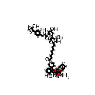 Cc1ncsc1-c1ccc(CNC(=O)[C@@H]2C[C@H](O)CN2C(=O)[C@@H](NC(=O)CCCCCCCC(=O)N2CCC(Cc3cccc(N4C5CCC4CN(c4cc(-c6ccccc6O)nnc4N)C5)c3)CC2)C(C)(C)C)cc1